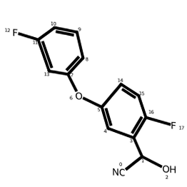 N#CC(O)c1cc(Oc2cccc(F)c2)ccc1F